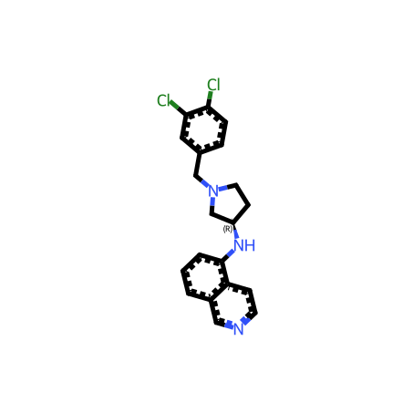 Clc1ccc(CN2CC[C@@H](Nc3cccc4cnccc34)C2)cc1Cl